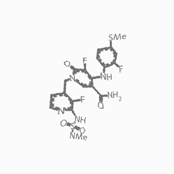 CNS(=O)(=O)Nc1nccc(Cn2cc(C(N)=O)c(Nc3ccc(SC)cc3F)c(F)c2=O)c1F